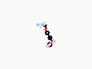 NC/C(=C\F)COc1ccc(C23CCC(C(=O)N4CCCOCC4)(CC2)CC3)cc1